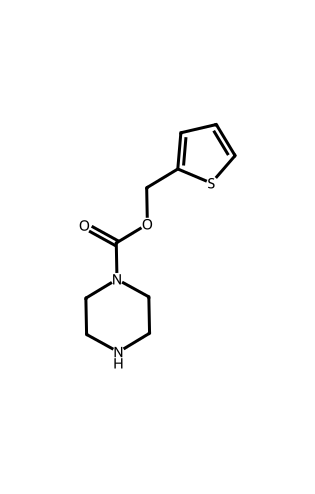 O=C(OCc1cccs1)N1CCNCC1